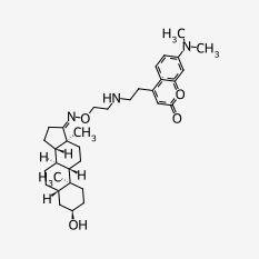 CN(C)c1ccc2c(CCNCCO/N=C3/CC[C@H]4[C@@H]5CC[C@H]6C[C@H](O)CC[C@]6(C)[C@H]5CC[C@]34C)cc(=O)oc2c1